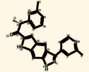 Cc1cc(-c2n[nH]c3cc4[nH]c(C(=O)[C@H](C)c5cccc(C)n5)cc4cc23)ccn1